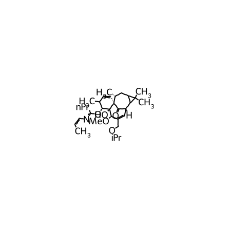 C/C=C\N=C(/CCC)O[C@H]1C(C)C=C[C@]23C(=O)[C@@H](C=C(COC(C)C)[C@@H](OC)[C@]12O)C1C(C[C@H]3C)C1(C)C